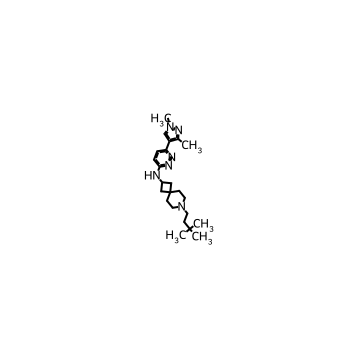 Cc1nn(C)cc1-c1ccc(NC2CC3(CCN(CCC(C)(C)C)CC3)C2)nn1